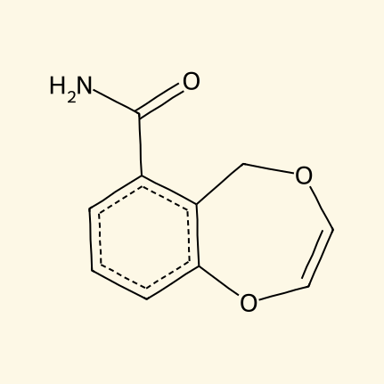 NC(=O)c1cccc2c1COC=CO2